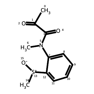 CC(=O)C(=O)N(C)c1ccccc1[S+](C)[O-]